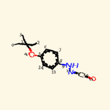 CC(C)(C)Oc1ccc(NN=C=O)cc1